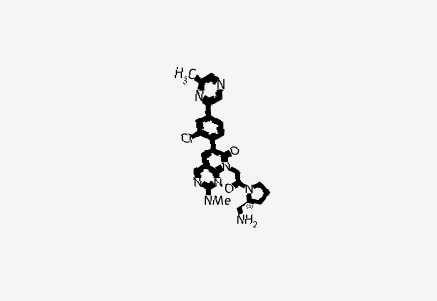 CNc1ncc2cc(-c3ccc(-c4cncc(C)n4)cc3Cl)c(=O)n(CC(=O)N3CCC[C@H]3CN)c2n1